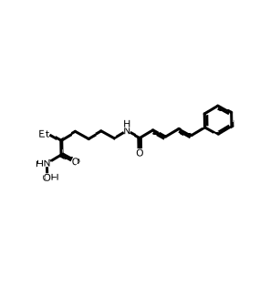 CCC(CCCCNC(=O)/C=C/C=C/c1ccccc1)C(=O)NO